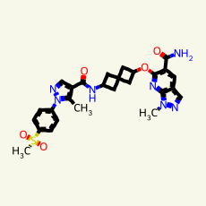 Cc1c(C(=O)NC2CC3(C2)CC(Oc2nc4c(cnn4C)cc2C(N)=O)C3)cnn1-c1ccc(S(C)(=O)=O)cc1